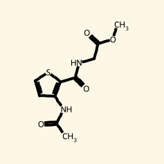 COC(=O)CNC(=O)c1sccc1NC(C)=O